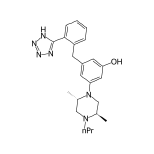 CCCN1C[C@H](C)N(c2cc(O)cc(Cc3ccccc3-c3nnn[nH]3)c2)C[C@H]1C